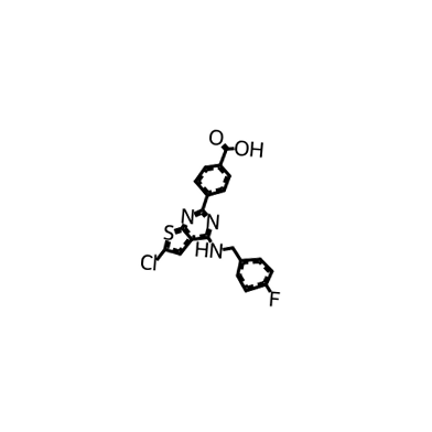 O=C(O)c1ccc(-c2nc(NCc3ccc(F)cc3)c3cc(Cl)sc3n2)cc1